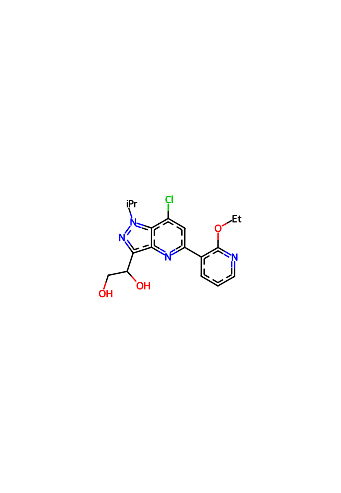 CCOc1ncccc1-c1cc(Cl)c2c(n1)c(C(O)CO)nn2C(C)C